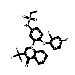 CCS(=O)(=O)Nc1ccc(Oc2ccc(F)cc2F)c(-n2cc(C(F)(F)F)c(=O)c3ccccc32)c1